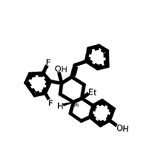 CCC12CC(=Cc3ccccc3)C(O)(c3c(F)cccc3F)C[C@H]1CCc1cc(O)ccc12